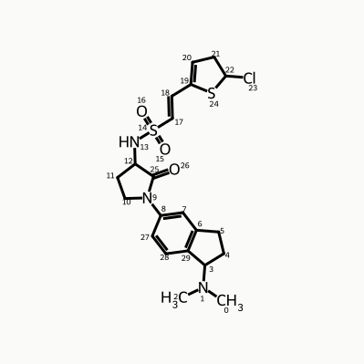 CN(C)C1CCc2cc(N3CCC(NS(=O)(=O)/C=C/C4=CCC(Cl)S4)C3=O)ccc21